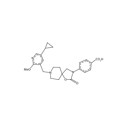 COc1ncc(C2CC2)cc1CN1CCC2(CC1)CN(c1ccc(C(=O)O)cc1)C(=O)O2